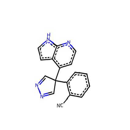 N#Cc1ccccc1C1(c2ccnc3[nH]ccc23)C=NN=C1